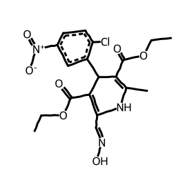 CCOC(=O)C1=C(C)NC(C=NO)=C(C(=O)OCC)C1c1cc([N+](=O)[O-])ccc1Cl